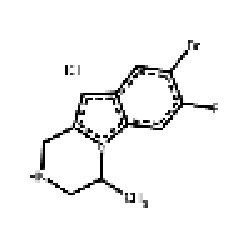 CC1CNCc2cc3cc(Br)c(F)cc3n21.Cl